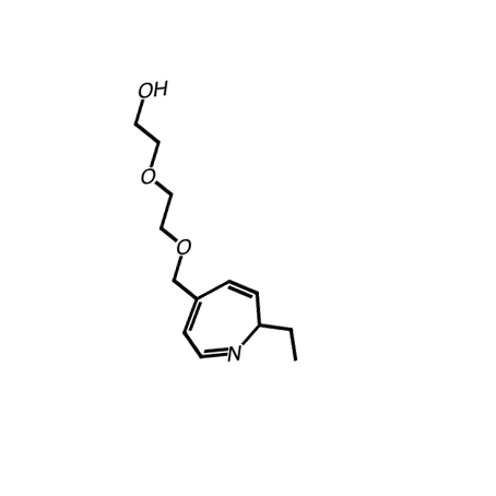 CCC1C=CC(COCCOCCO)=CC=N1